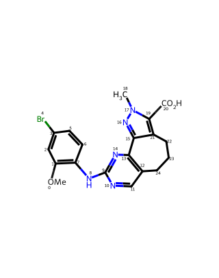 COc1cc(Br)ccc1Nc1ncc2c(n1)-c1nn(C)c(C(=O)O)c1CCC2